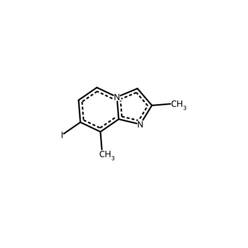 Cc1cn2ccc(I)c(C)c2n1